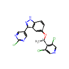 C[C@@H](Oc1ccc2[nH]nc(-c3cnc(Cl)nc3)c2c1)c1c(Cl)cncc1Cl